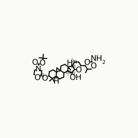 CC(C)C(OC(N)=O)C1C[C@@H](C)[C@H]2C(O1)[C@H](O)[C@@]1(C)C3CC[C@H]4C(C)(C)C(O[C@H]5CN(C(=O)OC(C)(C)C)CCO5)CCC45CC35CCC21C